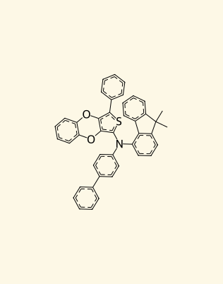 CC1(C)c2ccccc2-c2c(N(c3ccc(-c4ccccc4)cc3)c3sc(-c4ccccc4)c4c3Oc3ccccc3O4)cccc21